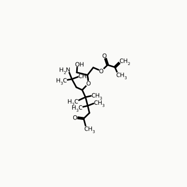 C=C(C)C(=O)OCC(CO)OC(CC(C)(C)N)C(C)(C)C(C)(C)CC(C)=O